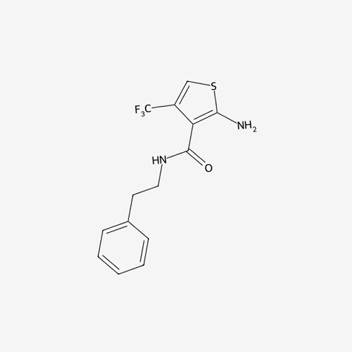 Nc1scc(C(F)(F)F)c1C(=O)NCCc1ccccc1